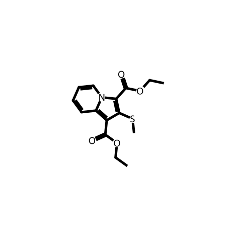 CCOC(=O)c1c(SC)c(C(=O)OCC)n2ccccc12